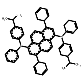 CC(C)c1ccc(N(c2ccccc2)c2cc(C3C=CC=CC3)c3ccc4c(N(C5=CCC(C(C)C)C=C5)C5=CC=CCC5)cc(C5C=CC=CC5)c5ccc2c3c54)cc1